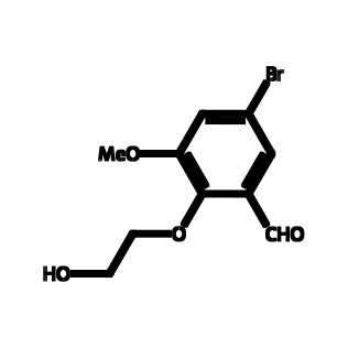 COc1cc(Br)cc(C=O)c1OCCO